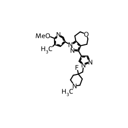 COc1ncc(-n2nc(-c3cnn(CC4(F)CCN(C)CC4)c3)c3c2CCOCC3)cc1C